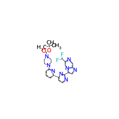 CC(C)(C)OC(=O)N1CCN(c2cccc(-c3ccnc(-c4cnc5cnc(C(F)F)cn45)n3)n2)CC1